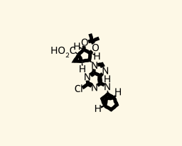 CC1(C)O[C@H]2[C@H](n3cnc4c(N[C@H]5C[C@H]6CC[C@@H]5C6)nc(Cl)nc43)[C@H]3C[C@@]3(C(=O)O)[C@H]2O1